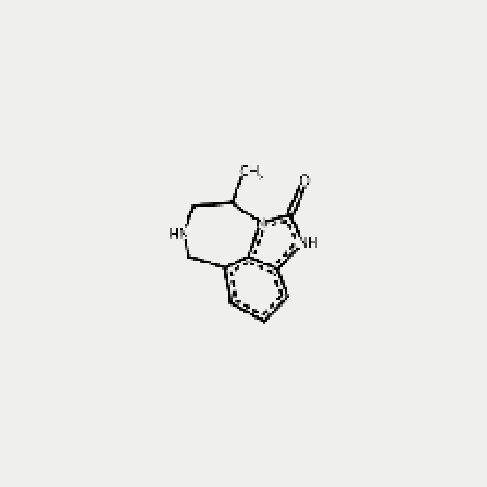 CC1CNCc2cccc3[nH]c(=O)n1c23